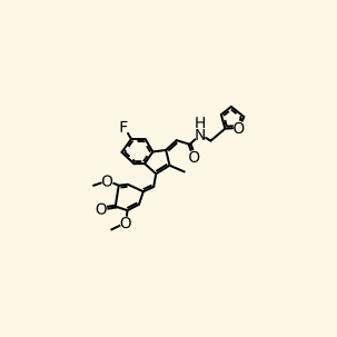 COC1=CC(=CC2=C(C)/C(=C\C(=O)NCc3ccco3)c3cc(F)ccc32)C=C(OC)C1=O